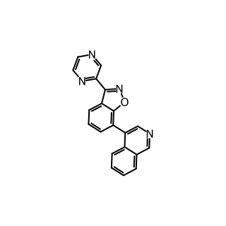 c1ccc2c(-c3cccc4c(-c5cnccn5)noc34)cncc2c1